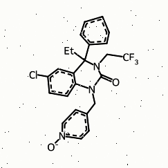 CCC1(c2ccccc2)c2cc(Cl)ccc2N(Cc2cc[n+]([O-])cc2)C(=O)N1CC(F)(F)F